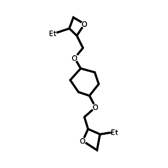 CCC1COC1COC1CCC(OCC2OCC2CC)CC1